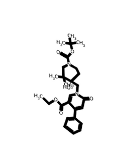 CCOC(=O)c1cn(C[C@]2(O)CCN(C(=O)OC(C)(C)C)CC2(C)C)c(=O)cc1-c1ccccc1